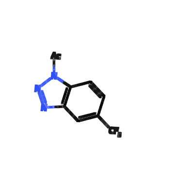 CC(=O)n1nnc2cc(C(F)(F)F)ccc21